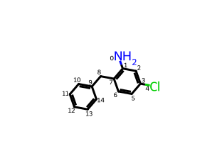 Nc1cc(Cl)ccc1Cc1ccccc1